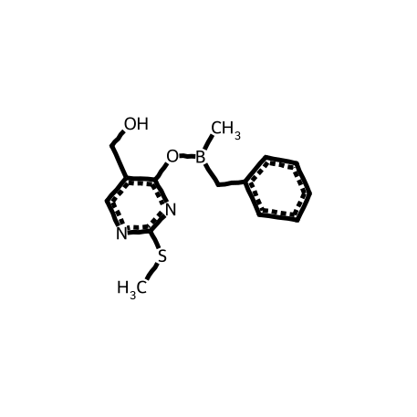 CSc1ncc(CO)c(OB(C)Cc2ccccc2)n1